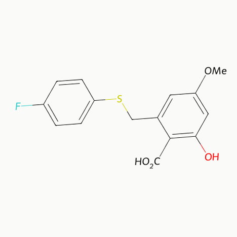 COc1cc(O)c(C(=O)O)c(CSc2ccc(F)cc2)c1